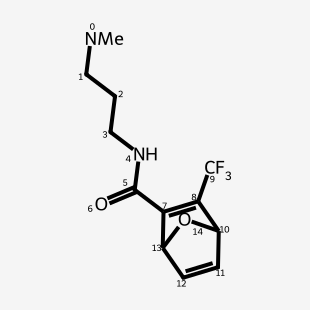 CNCCCNC(=O)C1=C(C(F)(F)F)C2C=CC1O2